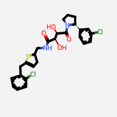 O=C(NCC1CC=C(Cc2ccccc2Cl)S1)[C@H](O)[C@@H](O)C(=O)N1CCC[C@@H]1c1cccc(Cl)c1